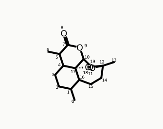 CC1CCC2C(C)C(=O)OC3OC4(C)CCC1[C@]32OO4